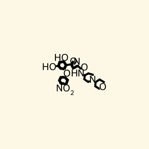 O=C(NC1CCN(C2CCOCC2)CC1)c1cc(-c2c(O)cc(O)cc2Oc2ccc([N+](=O)[O-])cc2)on1